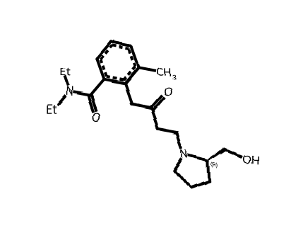 CCN(CC)C(=O)c1cccc(C)c1CC(=O)CCN1CCC[C@@H]1CO